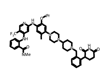 CNC(=O)c1ccccc1Nc1cc(Nc2cc(C)c(N3CCN(C4CCN(Cc5ccccc5C5CCC(=O)NC5=O)CC4)CC3)cc2OC(C)C)ncc1C(F)(F)F